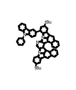 CC(C)(C)c1ccc2c(c1)c1cc3ccccc3c3c4c5c6c7ccccc7cc7c8cc(C(C)(C)C)cc(-c9ccc%10c(c9)c9ccccc9n%10-c9ccccc9)c8n(c5ncc4n2c13)c76